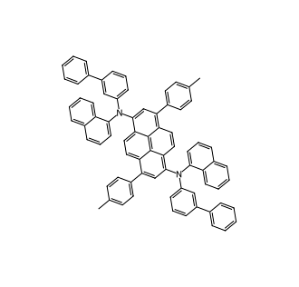 Cc1ccc(-c2cc(N(c3cccc(-c4ccccc4)c3)c3cccc4ccccc34)c3ccc4c(-c5ccc(C)cc5)cc(N(c5cccc(-c6ccccc6)c5)c5cccc6ccccc56)c5ccc2c3c45)cc1